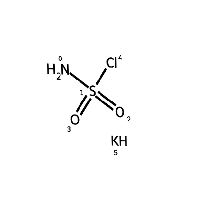 NS(=O)(=O)Cl.[KH]